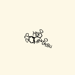 CC(C)(C)OC(=O)NC1CC(=O)N[C@@H]1c1ccc2c(c1)OCCO2